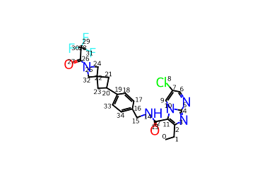 CCc1nc2ncc(Cl)cn2c1C(=O)NCc1ccc(C2CC3(C2)CN(C(=O)C(F)(F)F)C3)cc1